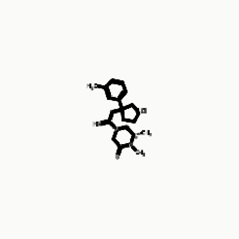 Cc1cccc(C2(CC(=N)N3CC(=O)N(C)[C@@H](C)C3)CCCC2)c1.Cl